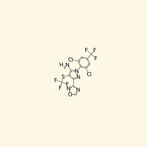 Nc1c(SC(F)(F)F)c(-c2ncon2)nn1-c1c(Cl)cc(C(F)(F)F)cc1Cl